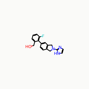 OCc1cccc(F)c1-c1ccc2c(c1)CN(c1ncc[nH]1)C2